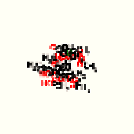 CCC(=O)O.CCC(=O)OCC(=O)[C@@]1(OC(=O)CC)[C@@H](C)C[C@H]2[C@@H]3CCC4=CC(=O)C=C[C@]4(C)C3(Cl)[C@@H](O)C[C@@]21C.CCC(=O)O[C@@H]1CC[C@@]2(C)C(CC[C@@]3(C)[C@@H]2[C@H](O)C[C@@H]2C(=C(CCC=C(C)C)C(=O)O)[C@@H](OC(C)=O)C[C@@]23C)[C@@H]1C